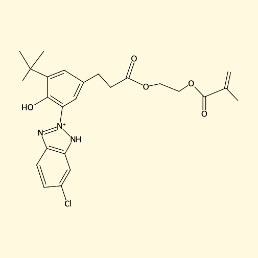 C=C(C)C(=O)OCCOC(=O)CCc1cc(-[n+]2nc3ccc(Cl)cc3[nH]2)c(O)c(C(C)(C)C)c1